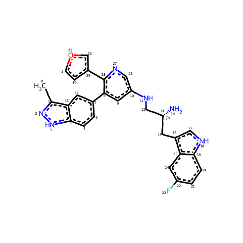 Cc1n[nH]c2ccc(-c3cc(NC[C@H](N)Cc4c[nH]c5ccc(F)cc45)cnc3-c3ccoc3)cc12